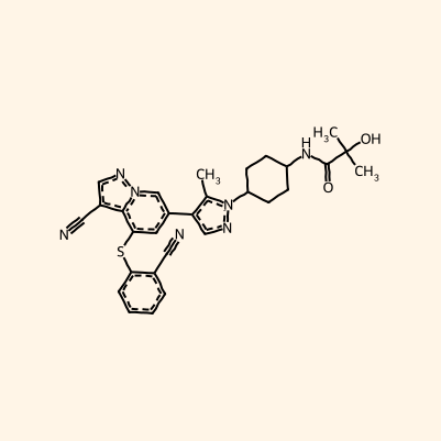 Cc1c(-c2cc(Sc3ccccc3C#N)c3c(C#N)cnn3c2)cnn1C1CCC(NC(=O)C(C)(C)O)CC1